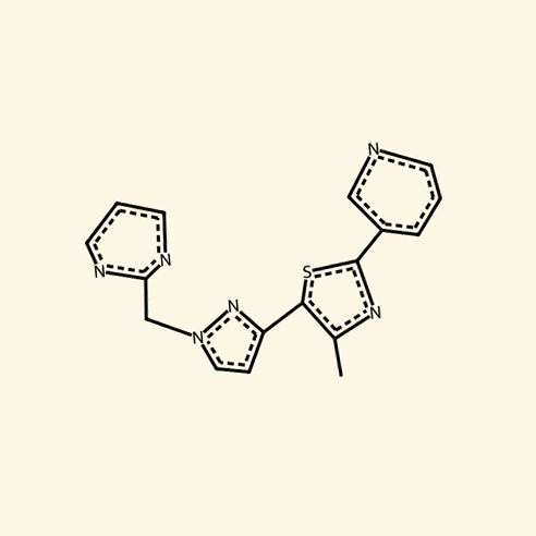 Cc1nc(-c2cccnc2)sc1-c1ccn(Cc2ncccn2)n1